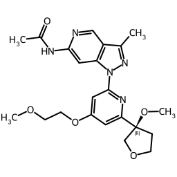 COCCOc1cc(-n2nc(C)c3cnc(NC(C)=O)cc32)nc([C@]2(OC)CCOC2)c1